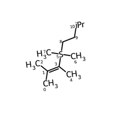 CC(C)=C(C)S(C)(C)CCC(C)C